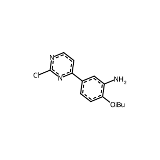 CC(C)COc1ccc(-c2ccnc(Cl)n2)cc1N